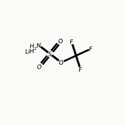 NS(=O)(=O)OC(F)(F)F.[LiH]